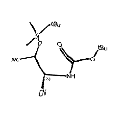 CC(C)(C)OC(=O)N[C@@H](C#N)C(C#N)O[Si](C)(C)C(C)(C)C